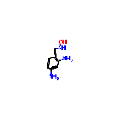 Nc1ccc(CNO)c(N)c1